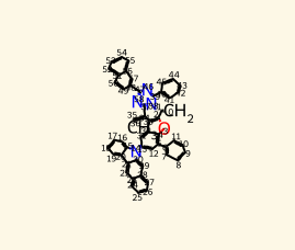 C=Cc1oc2c(-c3ccccc3)cc(-n3c4ccccc4c4cc5ccccc5cc43)cc2c1/C(=C\C)c1nc(-c2ccccc2)nc(-c2ccc3ccccc3c2)n1